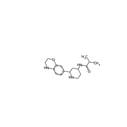 CC(C)C(=O)NC1CCNC(c2ccc3c(c2)OCCN3)C1